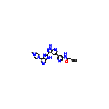 CN1CCN(c2cncc3[nH]c(-c4n[nH]c5ncc(-c6cncc(NC(=O)CC(C)(C)C)c6)cc45)nc23)CC1